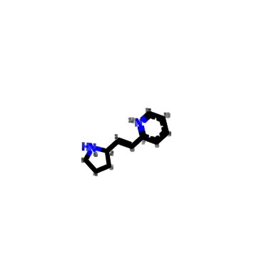 C(=CC1CCCN1)c1ccccn1